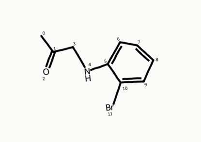 CC(=O)CNc1ccccc1Br